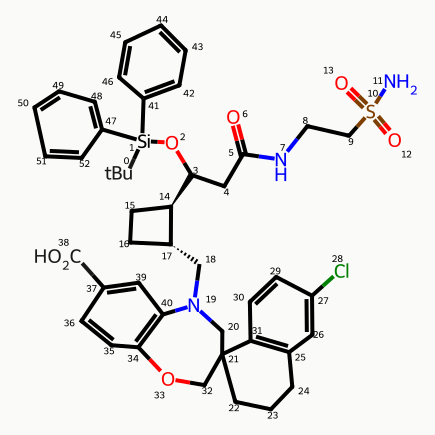 CC(C)(C)[Si](OC(CC(=O)NCCS(N)(=O)=O)[C@@H]1CC[C@H]1CN1CC2(CCCc3cc(Cl)ccc32)COc2ccc(C(=O)O)cc21)(c1ccccc1)c1ccccc1